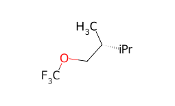 CC(C)[C@@H](C)COC(F)(F)F